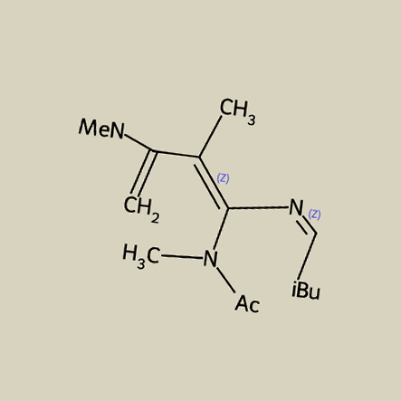 C=C(NC)/C(C)=C(/N=C\C(C)CC)N(C)C(C)=O